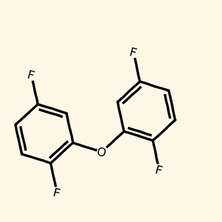 Fc1ccc(F)c(Oc2cc(F)ccc2F)c1